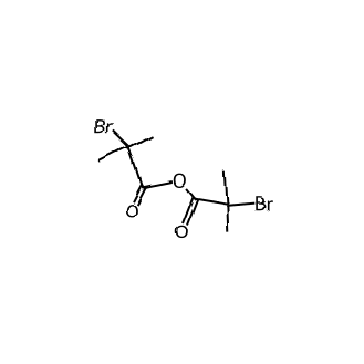 CC(C)(Br)C(=O)OC(=O)C(C)(C)Br